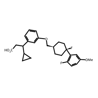 COc1ccc(F)c([C@]2(F)CC[C@@H](COc3cccc(C(CC(=O)O)C4CC4)c3)CC2)c1